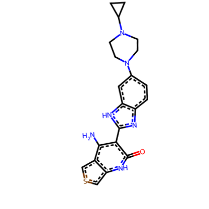 Nc1c(-c2nc3ccc(N4CCN(C5CC5)CC4)cc3[nH]2)c(=O)[nH]c2cscc12